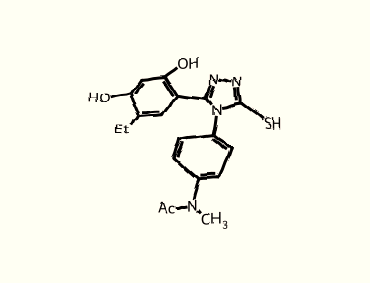 CCc1cc(-c2nnc(S)n2-c2ccc(N(C)C(C)=O)cc2)c(O)cc1O